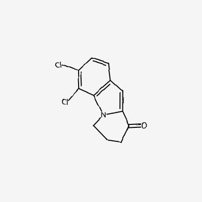 O=C1CCCn2c1cc1ccc(Cl)c(Cl)c12